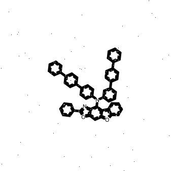 c1ccc(-c2ccc(-c3ccc(N(c4cccc(-c5ccc(-c6ccccc6)cc5)c4)c4c5nc(-c6ccccc6)oc5cc5oc6ccccc6c45)cc3)cc2)cc1